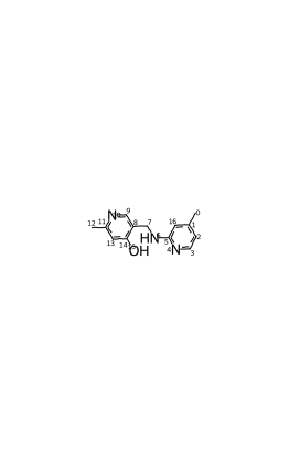 Cc1ccnc(NCc2cnc(C)cc2O)c1